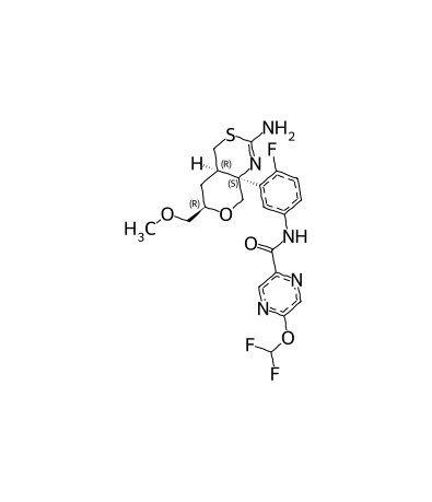 COC[C@H]1C[C@H]2CSC(N)=N[C@@]2(c2cc(NC(=O)c3cnc(OC(F)F)cn3)ccc2F)CO1